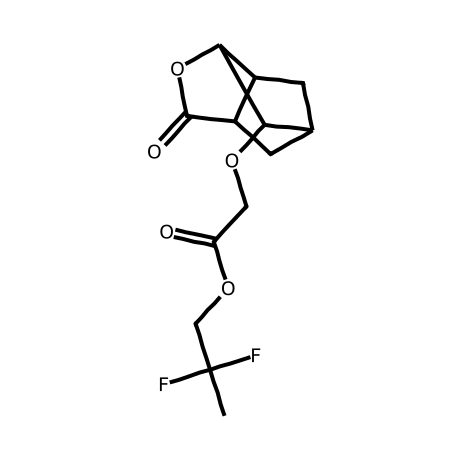 CC(F)(F)COC(=O)COC1C2CC3C(=O)OC1C3C2